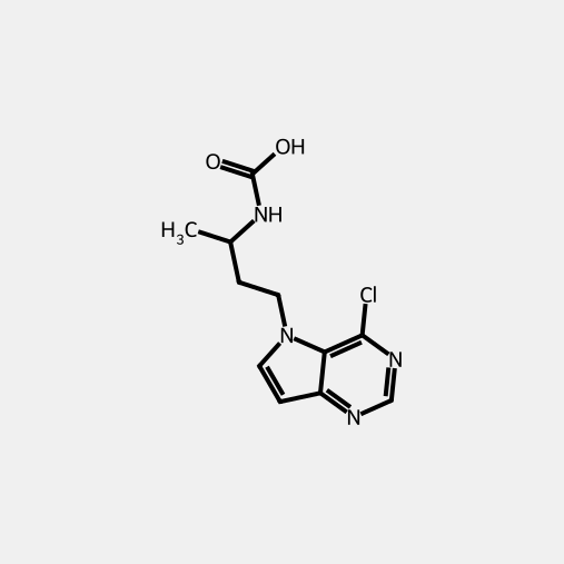 CC(CCn1ccc2ncnc(Cl)c21)NC(=O)O